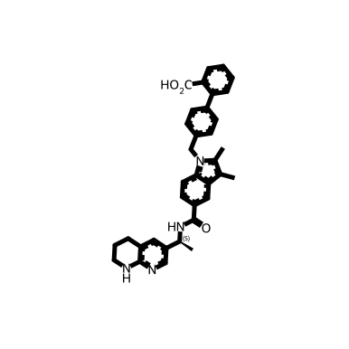 Cc1c(C)n(Cc2ccc(-c3ccccc3C(=O)O)cc2)c2ccc(C(=O)N[C@@H](C)c3cnc4c(c3)CCCN4)cc12